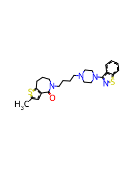 Cc1cc2c(s1)CCCN(CCCCN1CCN(c3nsc4ccccc34)CC1)C2=O